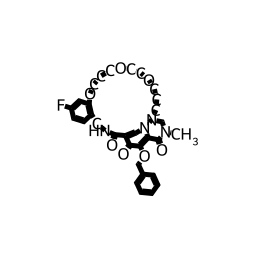 CN1CN2CCCOCCOCCCOc3cc(F)ccc3CNC(=O)c3cn2c(c(OCc2ccccc2)c3=O)C1=O